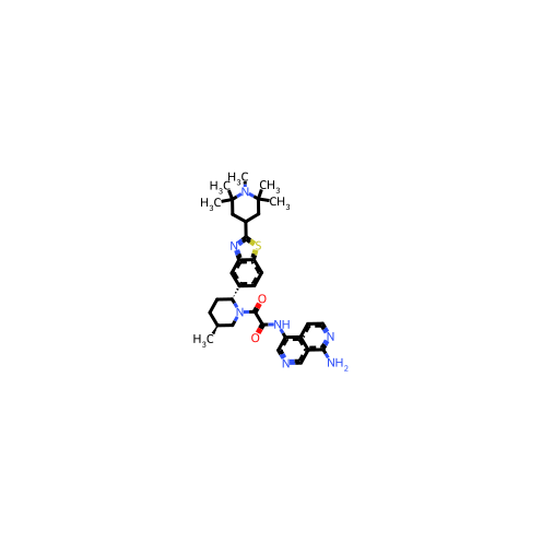 C[C@H]1CC[C@H](c2ccc3sc(C4CC(C)(C)N(C)C(C)(C)C4)nc3c2)N(C(=O)C(=O)Nc2cncc3c(N)nccc23)C1